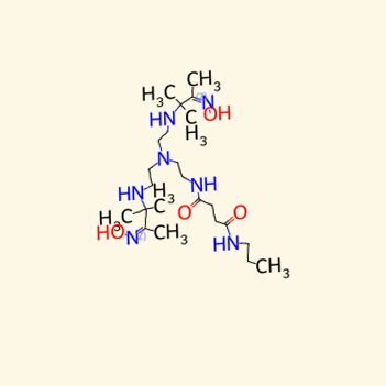 CCCNC(=O)CCC(=O)NCCN(CCNC(C)(C)/C(C)=N\O)CCNC(C)(C)/C(C)=N\O